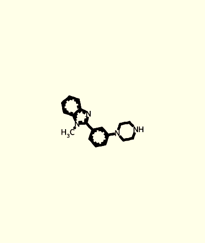 Cn1c(-c2cccc(N3CCNCC3)c2)nc2ccccc21